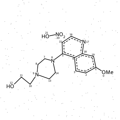 COc1ccc2c(N3CCN(CCO)CC3)ccnc2c1.O=[N+]([O-])O